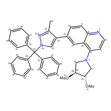 CO[C@H]1CN(c2ccnc3ccc(-c4cn(C(c5ccccc5)(c5ccccc5)c5ccccc5)nc4C)cc23)C[C@@H]1OC